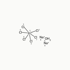 O.[Cl][Ir-2]([Cl])([Cl])([Cl])([Cl])[Cl].[Na+].[Na+]